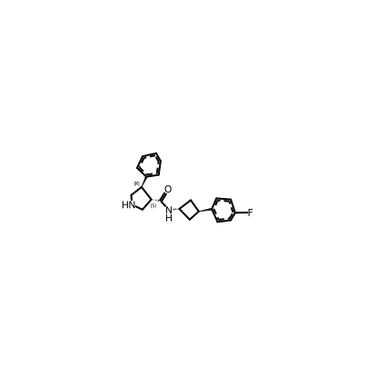 O=C(N[C@H]1C[C@H](c2ccc(F)cc2)C1)[C@@H]1CNC[C@H]1c1ccccc1